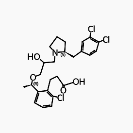 C[C@@H](OCC(O)CN1CCC[C@H]1Cc1ccc(Cl)c(Cl)c1)c1cccc(Cl)c1CCC(=O)O